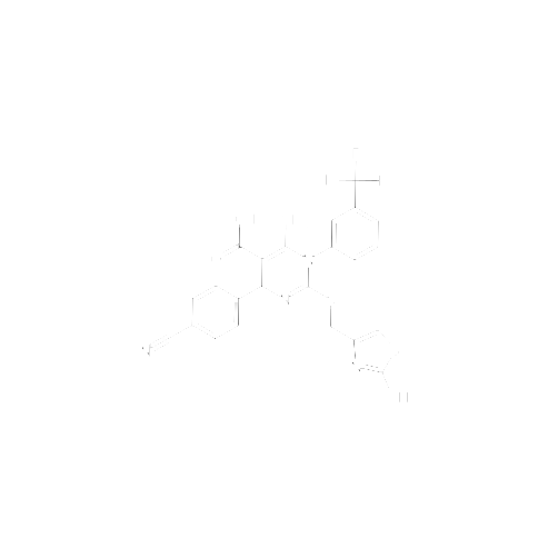 CC(=O)C1=C(C)N(c2cccc(C(F)(F)F)c2)C(SCc2csc(C)n2)=NC1c1ccc(C#N)cc1